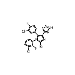 Fc1ccc(-c2c(-c3nn[nH]n3)nc(Br)n2-c2cccc(Cl)c2F)cc1Cl